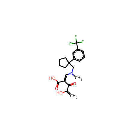 C=C(O)C(=O)/C(=C\N(C)CC1(c2cccc(C(F)(F)F)c2)CCCC1)C(=O)O